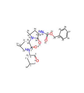 CC(C)C[C@@H](C=O)NC(=O)[C@H](CC(C)C)N1C(=O)[C@@H](NC(=O)OCc2ccccc2)CC1C